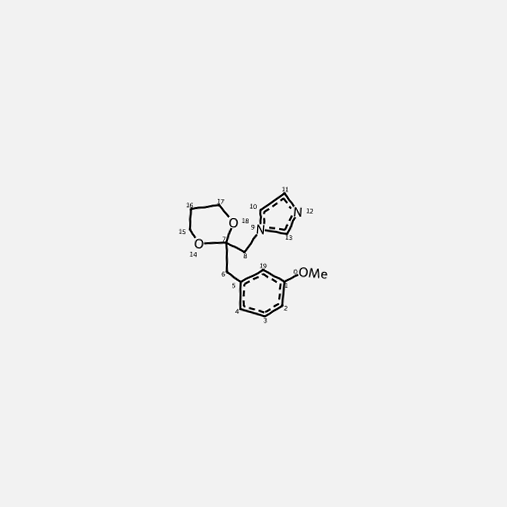 COc1cccc(CC2(Cn3ccnc3)OCCCO2)c1